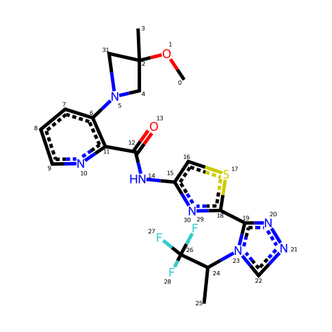 COC1(C)CN(c2cccnc2C(=O)Nc2csc(-c3nncn3C(C)C(F)(F)F)n2)C1